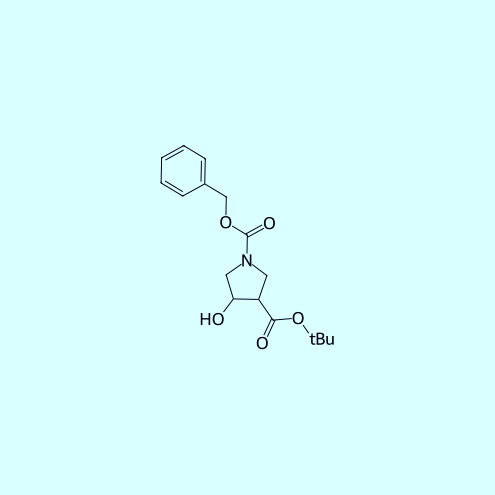 CC(C)(C)OC(=O)C1CN(C(=O)OCc2ccccc2)CC1O